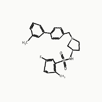 Cc1cccc(-c2ccc(CN3CC[C@@H](NS(=O)(=O)c4cc(F)ccc4C)C3)cc2)c1